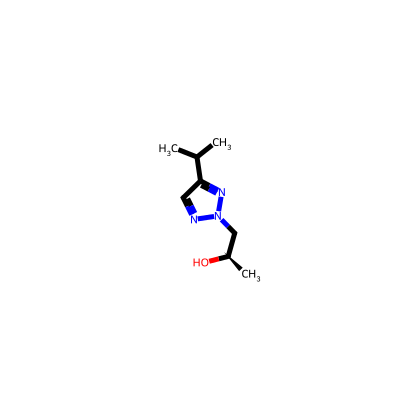 CC(C)c1cnn(C[C@@H](C)O)n1